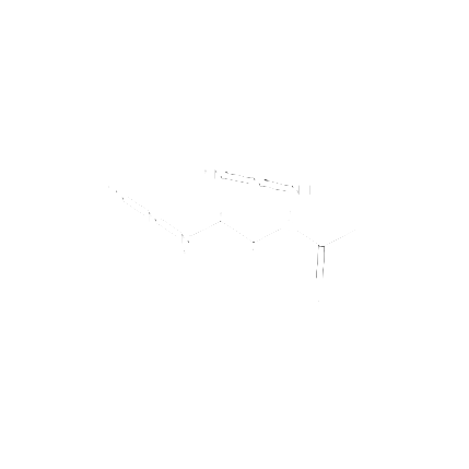 CC(=O)OCCN=[N+]=[N-].[N-]=[N+]=N